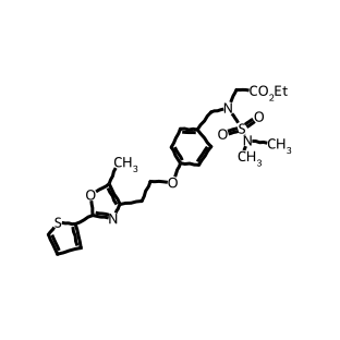 CCOC(=O)CN(Cc1ccc(OCCc2nc(-c3cccs3)oc2C)cc1)S(=O)(=O)N(C)C